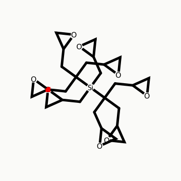 C1OC1CC(CC1CO1)(CC1CO1)[Si](CC1CO1)(CC1CO1)C(CC1CO1)(CC1CO1)CC1CO1